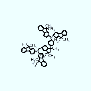 CC1(C)CC(C)(c2ccc(N(c3ccc4c(c3)C(C)(C)c3ccccc3-4)c3ccc4c(c3)C(C)(C)c3ccccc3-4)cc2)c2ccc(CN(c3ccc4c(c3)C(C)(C)c3ccccc3-4)c3ccc4c(c3)C(C)(C)c3ccccc3-4)cc21